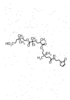 CCC(C)(CCC(C)C(=O)OCC[N+](C)(C)CCC(=O)NCCN1CC=CC1=O)C(=O)OCC[N+](C)(C)CCC(=O)O